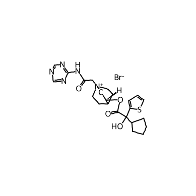 O=C(C[N+]12CCC(CC1)[C@@H](OC(=O)C(O)(c1cccs1)C1CCCC1)C2)Nc1ncncn1.[Br-]